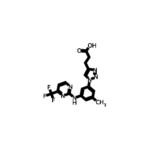 Cc1cc(Nc2nccc(C(F)(F)F)n2)cc(-n2cc(CCC(=O)O)nn2)c1